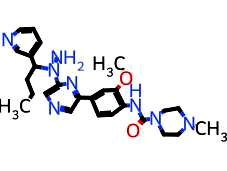 CCCC(c1cccnc1)N(N)c1cncc(-c2ccc(NC(=O)N3CCN(C)CC3)c(OC)c2)n1